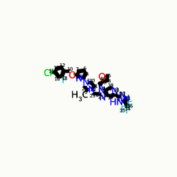 CC1CN(c2cccc(OCc3ccc(Cl)cc3F)n2)CCN1Cc1nc2cc(-c3nnc(C(F)(F)F)[nH]3)ncc2n1CC1CCO1